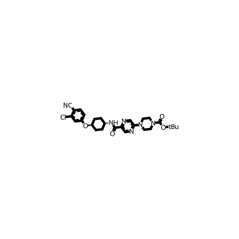 CC(C)(C)OC(=O)N1CCN(c2cnc(C(=O)N[C@H]3CC[C@H](Oc4ccc(C#N)c(Cl)c4)CC3)cn2)CC1